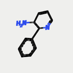 NC1C=CC=NC1c1ccccc1